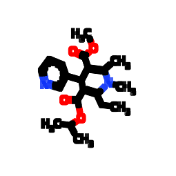 CCC1=C(C(=O)OC(C)C)C(c2cccnc2)C(C(=O)OC)=C(C)N1C